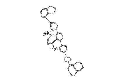 C[Si]1(C)c2cc(-c3ccc(-c4cccc5ccccc45)cc3)ccc2-c2ccc3c4c(ccc1c24)[Si](C)(C)c1cc(-c2cccc4ccccc24)ccc1-3